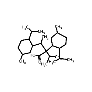 CC1CCC(C(C)C)C(C(C)C(C(=O)O)(C(C)C)C2CC(C)CCC2C(C)C)C1